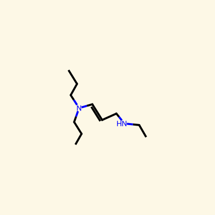 CCCN(C=CCNCC)CCC